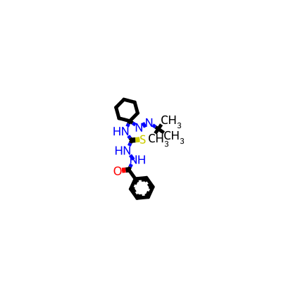 CC(C)(C)/N=N/C1(NC(=S)NNC(=O)c2ccccc2)CCCCC1